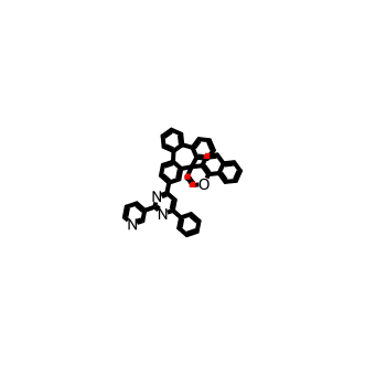 c1ccc(-c2cc(-c3ccc4c(c3)C3(c5ccccc5Oc5c3ccc3ccccc53)c3ccccc3-c3ccccc3-4)nc(-c3cccnc3)n2)cc1